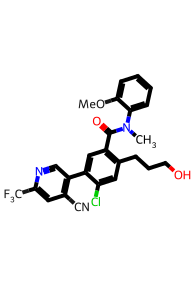 COc1ccccc1N(C)C(=O)c1cc(-c2cnc(C(F)(F)F)cc2C#N)c(Cl)cc1CCCO